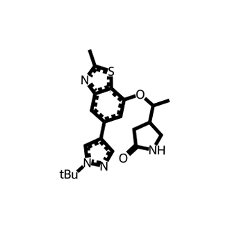 Cc1nc2cc(-c3cnn(C(C)(C)C)c3)cc(OC(C)C3CNC(=O)C3)c2s1